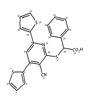 N#Cc1c(-c2cccs2)cc(-c2cccs2)nc1SC(C(=O)O)c1ccccc1